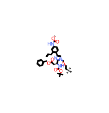 C=CCc1cc(NC(=O)OC)ccc1-c1cn(COCC[Si](C)(C)C)c([C@H](CC(=O)OCc2ccccc2)NC(=O)OC(C)(C)C)n1